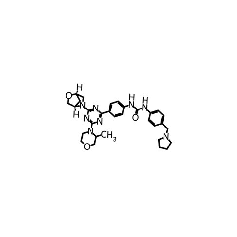 CC1COCCN1c1nc(-c2ccc(NC(=O)Nc3ccc(CN4CCCC4)cc3)cc2)nc(N2C[C@@H]3C[C@H]2CO3)n1